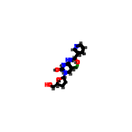 O=C(Nc1nc(=O)n([C@H]2CC[C@@H](CO)O2)cc1F)c1cccnc1